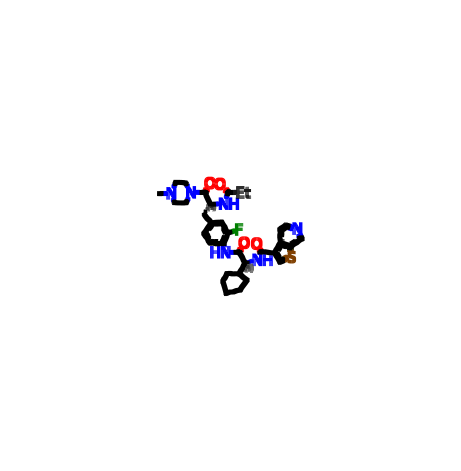 CCC(=O)N[C@H](Cc1ccc(NC(=O)[C@@H](NC(=O)c2csc3cnccc23)C2CCCCC2)c(F)c1)C(=O)N1CCN(C)CC1